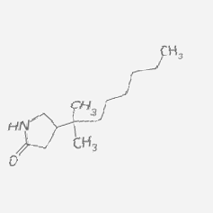 CCCCCCC(C)(C)C1CNC(=O)C1